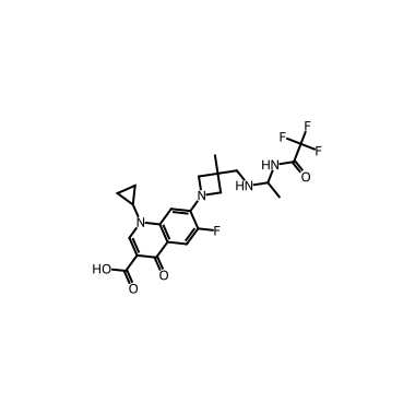 CC(NCC1(C)CN(c2cc3c(cc2F)c(=O)c(C(=O)O)cn3C2CC2)C1)NC(=O)C(F)(F)F